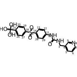 O=C(NCc1cccnc1)Nc1ccc(S(=O)(=O)c2ccc(C(O)(O)O)cc2)cc1